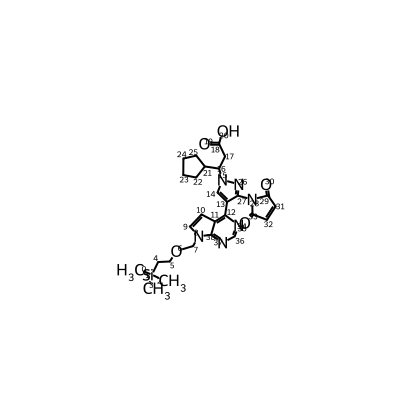 C[Si](C)(C)CCOCn1ccc2c(-c3cn(C(CC(=O)O)C4CCCC4)nc3N3C(=O)C=CC3=O)ncnc21